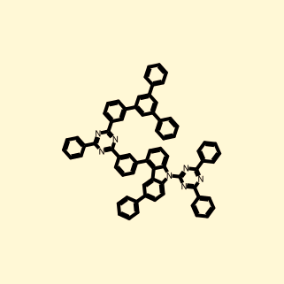 c1ccc(-c2cc(-c3ccccc3)cc(-c3cccc(-c4nc(-c5ccccc5)nc(-c5cccc(-c6cccc7c6c6cc(-c8ccccc8)ccc6n7-c6nc(-c7ccccc7)nc(-c7ccccc7)n6)c5)n4)c3)c2)cc1